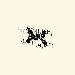 CN(C)c1ccc(C(Nc2cccc3c(NC(c4ccc(N(C)C)cc4)c4ccc(N(C)C)cc4)cccc23)c2ccc(N(C)C)cc2)cc1